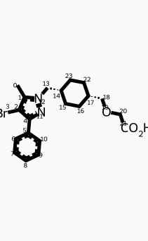 Cc1c(Br)c(-c2ccccc2)nn1C[C@H]1CC[C@@H](COCC(=O)O)CC1